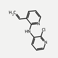 C=Cc1cccnc1Nc1cccnc1Cl